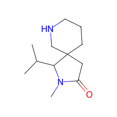 CC(C)C1N(C)C(=O)CC12CCCNC2